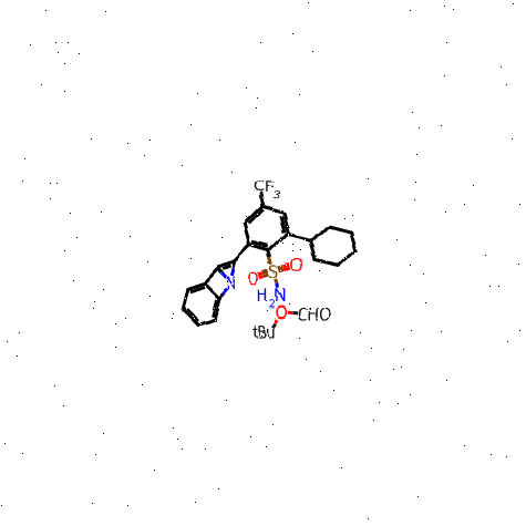 CC(C)(C)OC=O.NS(=O)(=O)c1c(-c2c3c4ccccc4n2-3)cc(C(F)(F)F)cc1C1CCCCC1